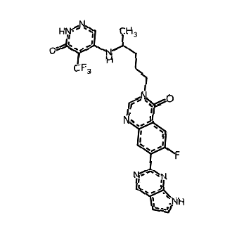 CC(CCCn1cnc2cc(-c3ncc4cc[nH]c4n3)c(F)cc2c1=O)Nc1cn[nH]c(=O)c1C(F)(F)F